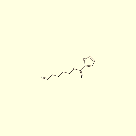 C=CCCCCOC(=O)c1ccco1